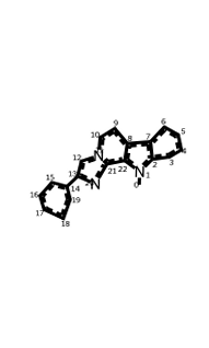 Cn1c2ccccc2c2ccn3cc(-c4ccccc4)nc3c21